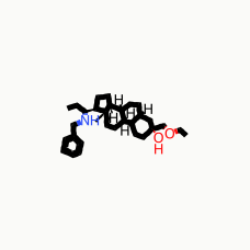 CCOC[C@@]1(O)CC[C@H]2[C@H](CC[C@@H]3[C@@H]2CC[C@]2(C)[C@@H](C(CC)NCc4ccccc4)CC[C@@H]32)C1